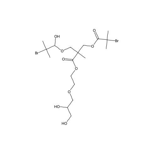 CC(C)(Br)C(=O)OCC(C)(COC(O)C(C)(C)Br)C(=O)OCCOCC(O)CO